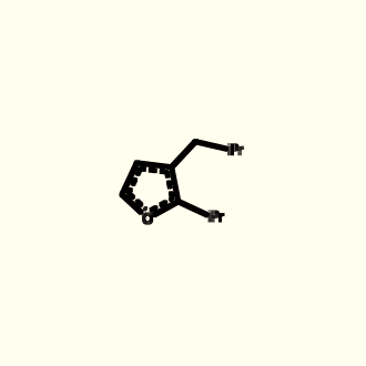 CC(C)Cc1ccoc1C(C)C